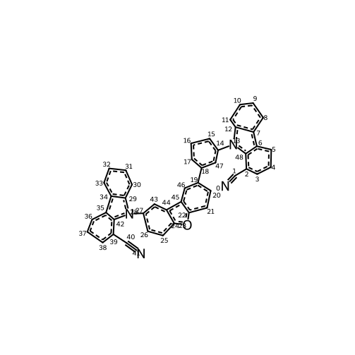 N#Cc1cccc2c3ccccc3n(-c3cccc(-c4ccc5oc6ccc(-n7c8ccccc8c8cccc(C#N)c87)cc6c5c4)c3)c12